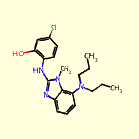 CCCN(CCC)c1cccc2nc(Nc3ccc(Cl)cc3O)n(C)c12